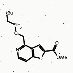 COC(=O)c1cc2c(CO[SiH2]CC(C)(C)C)nccc2o1